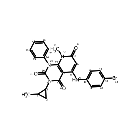 CC1CC1n1c(=O)c2c(Nc3ccc(Br)cc3)cc(=O)n(C)c2n(-c2ccccc2)c1=O